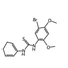 COc1cc(OC)c(NC(=S)NC2=CC[CH]C=C2)cc1Br